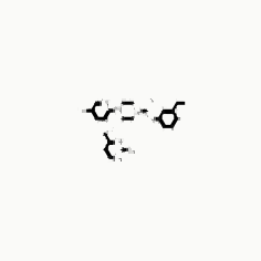 CCc1cccc(NC(=O)N2CCN(c3ncc(Br)cc3OCc3ccnc(N)n3)CC2)c1